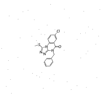 CSc1nnc2n(Cc3ccccc3)c(=O)c3cc(Cl)ccc3n12